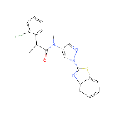 CC(C(=O)N(C)c1cnn(-c2nc3ccccc3s2)c1)c1ccccc1Cl